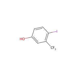 Oc1ccc(I)c(C(F)(F)F)c1